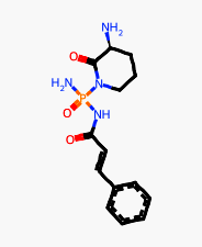 N[C@H]1CCCN(P(N)(=O)NC(=O)C=Cc2ccccc2)C1=O